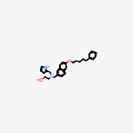 OCCN(Cc1ccc2cc(OCCCCCc3ccccc3)ccc2c1)Cc1ccc[nH]1